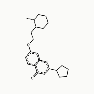 CN1CCCCC1CCOc1ccc2c(=O)cc(C3CCCC3)oc2c1